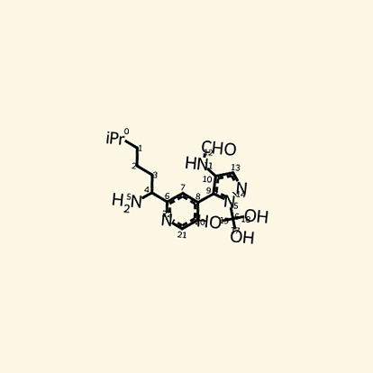 CC(C)CCCC(N)c1cc(-c2c(NC=O)cnn2C(O)(O)O)ccn1